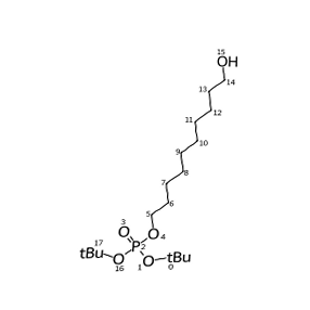 CC(C)(C)OP(=O)(OCCCCCCCCCCO)OC(C)(C)C